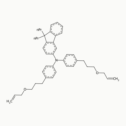 C=CCOCCCc1ccc(N(c2ccc(CCCOCC=C)cc2)c2ccc3c(c2)-c2ccccc2C3(CCC)CCC)cc1